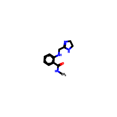 CNC(=O)c1ccccc1NCC1=NCCN1